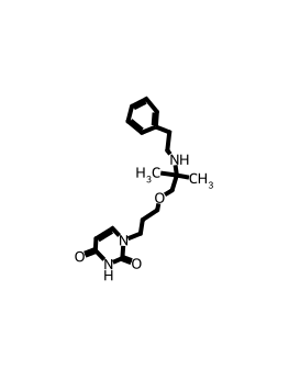 CC(C)(COCCCn1ccc(=O)[nH]c1=O)NCCc1ccccc1